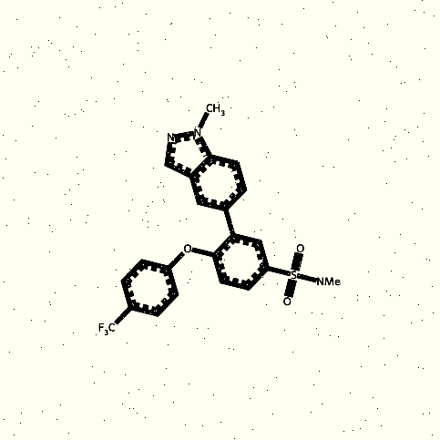 CNS(=O)(=O)c1ccc(Oc2ccc(C(F)(F)F)cc2)c(-c2ccc3c(cnn3C)c2)c1